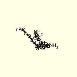 CCCOCCOCCOCCOCCOCCOP(=O)(O)OC[C@H]1OCC(n2ccc(N)nc2=O)[C@@H]1OP(=O)(O)OC[C@@H]1CC[C@H](n2ccc(N)nc2=O)O1